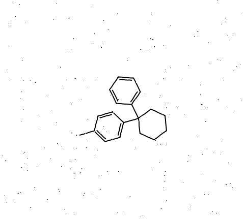 [CH2]c1ccc(C2(c3ccccc3)CCCCC2)cc1